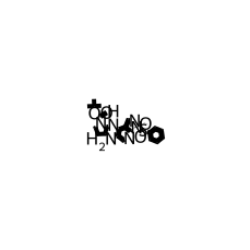 CC(C)(C)OC(=O)N1CCCC1Nc1c(N)cnc2c1cnn2S(=O)(=O)c1ccccc1